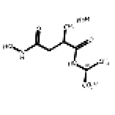 CC(CC(=O)NO)C(=O)N[C@@H](C)C(=O)O.[NaH]